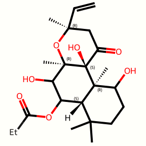 C=C[C@@]1(C)CC(=O)[C@]2(O)[C@@]3(C)C(O)CCC(C)(C)[C@@H]3C(OC(=O)CC)C(O)[C@@]2(C)O1